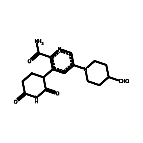 NC(=O)c1ncc(N2CCC(C=O)CC2)cc1C1CCC(=O)NC1=O